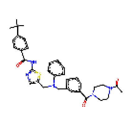 CC(=O)N1CCN(C(=O)c2cccc(CN(Cc3cnc(NC(=O)c4ccc(C(C)(C)C)cc4)s3)c3ccccc3)c2)CC1